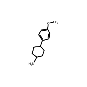 NC1CCC(c2ccc(OC(F)(F)F)cc2)CC1